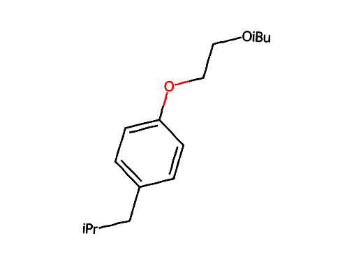 CC(C)COCCOc1ccc(CC(C)C)cc1